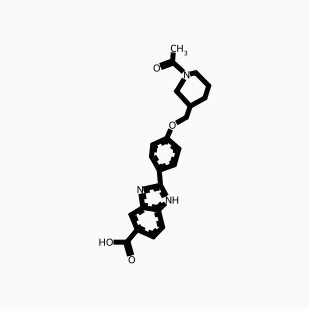 CC(=O)N1CCCC(COc2ccc(-c3nc4cc(C(=O)O)ccc4[nH]3)cc2)C1